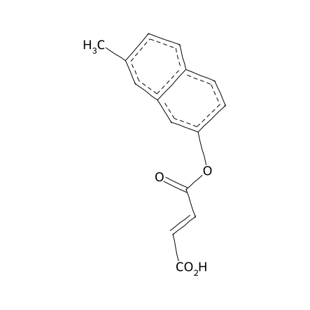 Cc1ccc2ccc(OC(=O)/C=C/C(=O)O)cc2c1